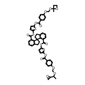 CC(OCOc1ccc(C(=O)Oc2ccc(SC(=O)c3cccc4c3C3(CC4)CCc4cccc(C(=O)Sc5ccc(OC(=O)c6ccc(OCOC7(C)CCO7)cc6)s5)c43)s2)cc1)C1CO1